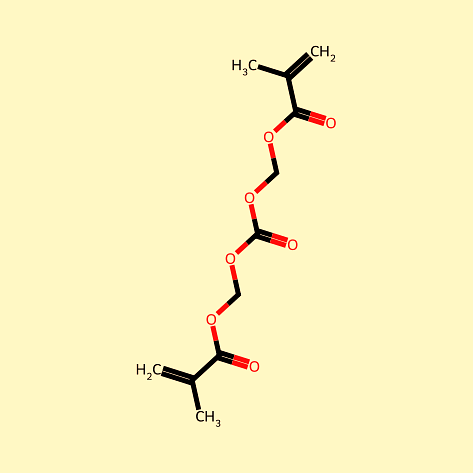 C=C(C)C(=O)OCOC(=O)OCOC(=O)C(=C)C